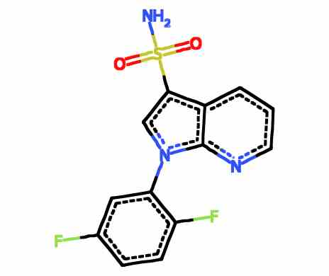 NS(=O)(=O)c1cn(-c2cc(F)ccc2F)c2ncccc12